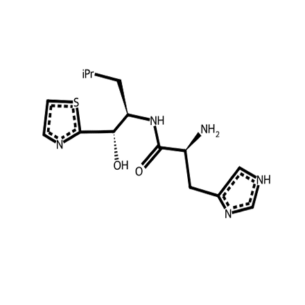 CC(C)C[C@@H](NC(=O)[C@@H](N)Cc1c[nH]cn1)[C@H](O)c1nccs1